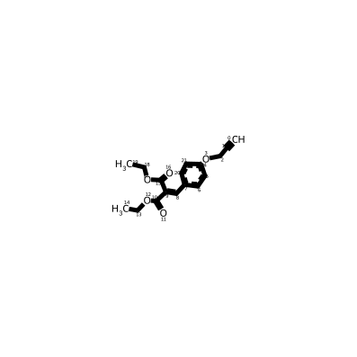 C#CCOc1ccc(C=C(C(=O)OCC)C(=O)OCC)cc1